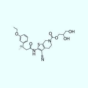 CCOc1cccc([C@@H](C)CC(=O)Nc2sc3c(c2C#N)CCN(C(=O)OCC(O)CO)C3)c1